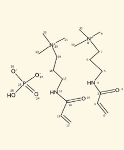 C=CC(=O)NCCC[N+](C)(C)C.C=CC(=O)NCCC[N+](C)(C)C.O=P([O-])([O-])O